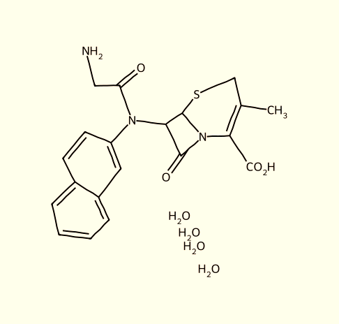 CC1=C(C(=O)O)N2C(=O)C(N(C(=O)CN)c3ccc4ccccc4c3)C2SC1.O.O.O.O